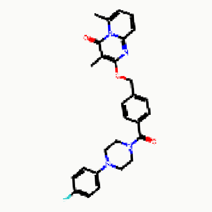 Cc1c(OCc2ccc(C(=O)N3CCN(c4ccc(F)cc4)CC3)cc2)nc2cccc(C)n2c1=O